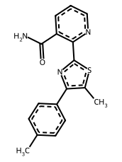 Cc1ccc(-c2nc(-c3ncccc3C(N)=O)sc2C)cc1